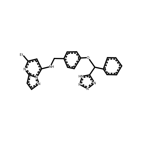 CCc1cc(NCc2ccc(OC(c3ccccc3)c3nnn[nH]3)cc2)n2nccc2n1